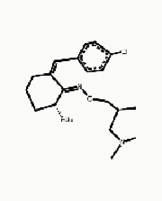 CCCC[C@@H]1CCCC(=Cc2ccc(Cl)cc2)C1=NOC[C@@H](C)CN(C)C